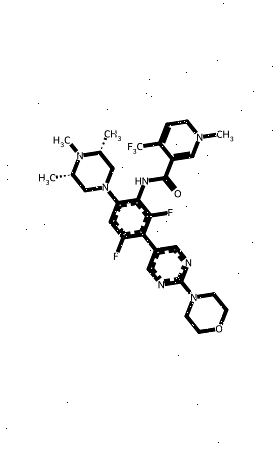 C[C@@H]1CN(c2cc(F)c(-c3cnc(N4CCOCC4)nc3)c(F)c2NC(=O)C2=CN(C)CC=C2C(F)(F)F)C[C@H](C)N1C